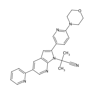 CC(C)(C#N)n1c(-c2ccc(N3CCOCC3)nc2)cc2cc(-c3ccccn3)cnc21